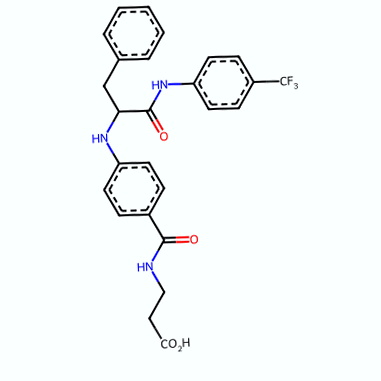 O=C(O)CCNC(=O)c1ccc(NC(Cc2ccccc2)C(=O)Nc2ccc(C(F)(F)F)cc2)cc1